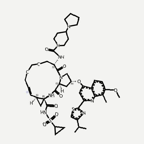 COc1ccc2c(O[C@@H]3C[C@H]4C(=O)N[C@]5(C(=O)NS(=O)(=O)C6CC6)C[C@H]5/C=C\CCCCC[C@H](NC(=O)N5CCC(N6CCCC6)CC5)C(=O)N4C3)cc(-c3nc(C(C)C)cs3)nc2c1C